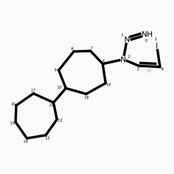 N=NN(/C=C\I)C1CCCC(C2CCCCCC2)CC1